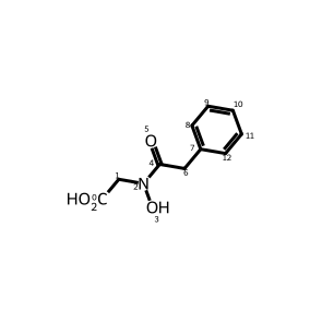 O=C(O)CN(O)C(=O)Cc1ccccc1